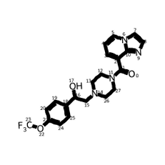 O=C(c1cccn2ccnc12)N1CCN(CC(O)c2ccc(OC(F)(F)F)cc2)CC1